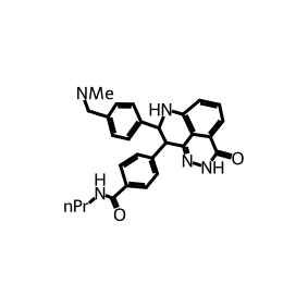 CCCNC(=O)c1ccc(C2c3n[nH]c(=O)c4cccc(c34)NC2c2ccc(CNC)cc2)cc1